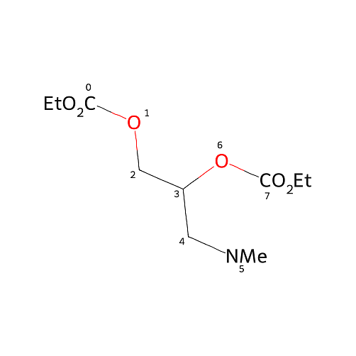 CCOC(=O)OCC(CNC)OC(=O)OCC